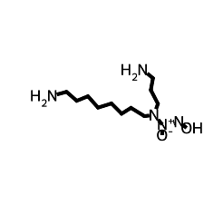 NCCCCCCCCN(CCCN)/[N+]([O-])=N/O